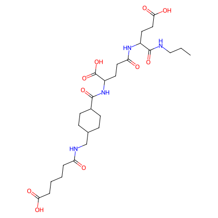 CCCNC(=O)C(CCC(=O)O)NC(=O)CCC(NC(=O)C1CCC(CNC(=O)CCCCC(=O)O)CC1)C(=O)O